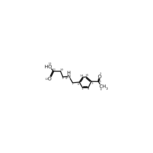 CC(=O)c1ccc(CNCCC(=O)O)cc1